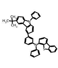 CC(C)(C)c1ccc2c(c1)c1cc(-c3cccc(N(c4ccccc4)c4cccc5c4sc4ccccc45)c3)ccc1n2-c1ccccc1